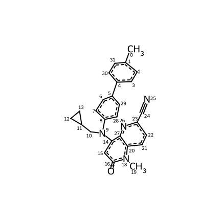 Cc1ccc(-c2ccc(N(CC3CC3)c3cc(=O)n(C)c4ccc(C#N)nc34)cc2)cc1